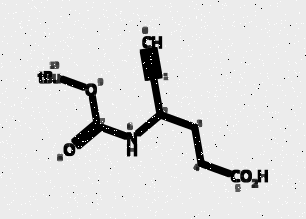 C#CC(CCC(=O)O)NC(=O)OC(C)(C)C